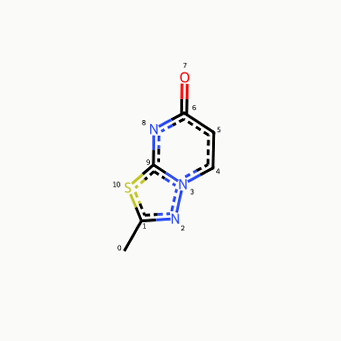 Cc1nn2ccc(=O)nc2s1